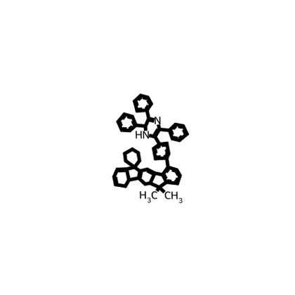 CC1(C)c2cccc(-c3ccc(C4=C(c5ccccc5)N=C(c5ccccc5)C(c5ccccc5)N4)cc3)c2C2=CC3=C(CC21)C1CC=CC=C1C31CCCCC1